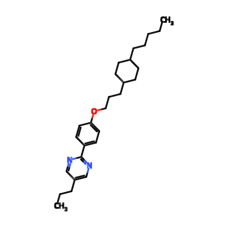 CCCCCC1CCC(CCCOc2ccc(-c3ncc(CCC)cn3)cc2)CC1